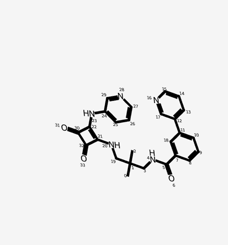 CC(C)(CNC(=O)c1cccc(-c2cccnc2)c1)CNc1c(Nc2cccnc2)c(=O)c1=O